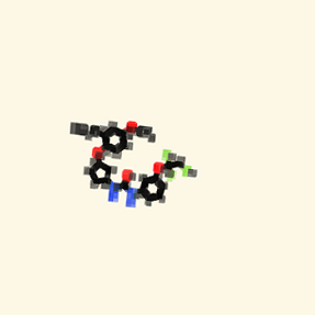 O=C(Nc1cccc(OC(F)(F)CF)c1)NC1CCC(Oc2ccc(OC(F)(F)F)cc2C(=O)O)C1